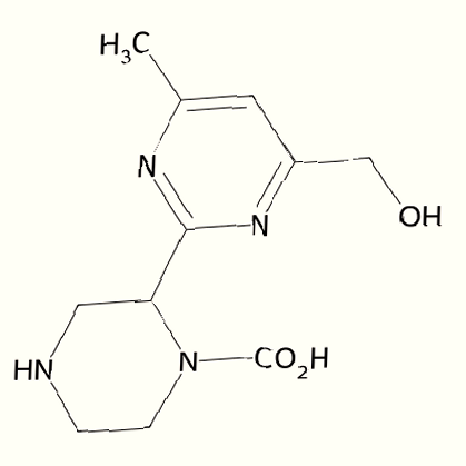 Cc1cc(CO)nc(C2CNCCN2C(=O)O)n1